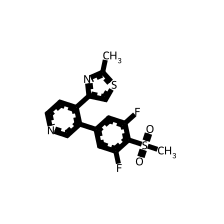 Cc1nc(-c2ccncc2-c2cc(F)c(S(C)(=O)=O)c(F)c2)cs1